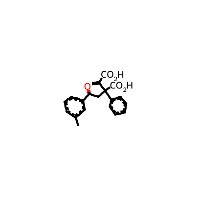 C=C(C(=O)O)C(CC(=O)c1cccc(C)c1)(C(=O)O)c1ccccc1